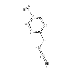 CCCc1ccc(CN=[N+]=[N-])cc1